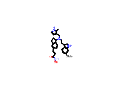 COc1ccc2c(CCN(Cc3cc[nH]c3C)C3CCc4cc(C=CC(=O)NO)ccc43)c[nH]c2c1